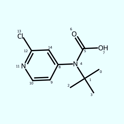 CC(C)(C)N(C(=O)O)c1ccnc(Cl)c1